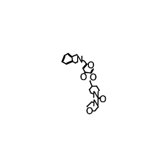 O=C(N1CCOCC1)N1CCC(COc2coc(CN3Cc4ccccc4C3)cc2=O)CC1